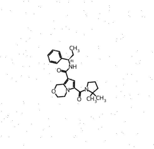 CC[C@@H](NC(=O)c1cc(C(=O)N2CCCC2(C)C)n2c1COCC2)c1ccccc1